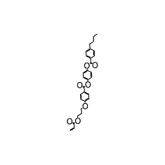 C=CC(=O)OCCCOc1ccc(C(=O)Oc2ccc(OC(=O)c3ccc(CCCC)cc3)cc2)cc1